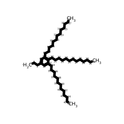 [CH2]CCc1cc(CCCCCCCCCCCCC)c(CCCCCCCCCCCCC)c(CCCCCCCCCCCCC)c1